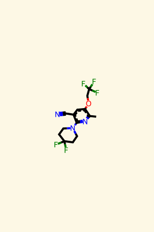 Cc1nc(N2CCC(F)(F)CC2)c(C#N)cc1OCC(F)(F)F